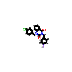 O=c1c2ccccc2n(Cc2ccc(Cl)cc2)c(=O)n1Cc1ccc(I)cc1